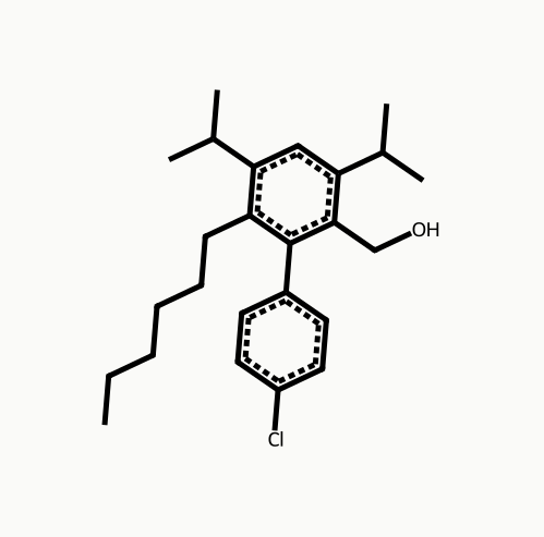 CCCCCCc1c(C(C)C)cc(C(C)C)c(CO)c1-c1ccc(Cl)cc1